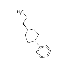 CCC[C@H]1CC[C@H](c2cc[c]cc2)CC1